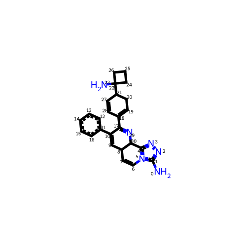 Nc1nnc2n1C=CC1C=C(c3ccccc3)C(C3=CCC(C4(N)CCC4)C=C3)=NC21